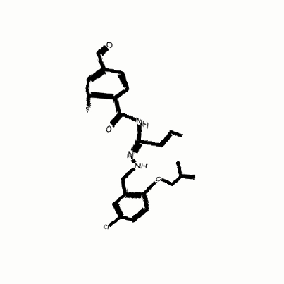 C/C=C/C(=N\NCc1cc(Cl)ccc1OCC(C)C)NC(=O)c1ccc(C=O)cc1F